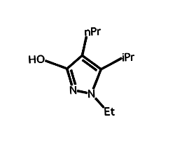 CCCc1c(O)nn(CC)c1C(C)C